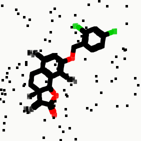 C=C1C(=O)OC2c3c(C)c(OCc4ccc(Cl)cc4Cl)cc(C)c3CC[C@@H]12